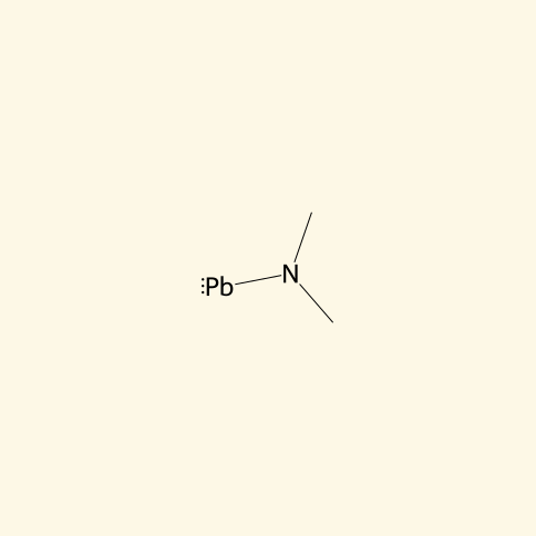 C[N](C)[Pb]